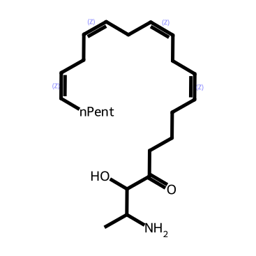 CCCCC/C=C\C/C=C\C/C=C\C/C=C\CCCC(=O)C(O)C(C)N